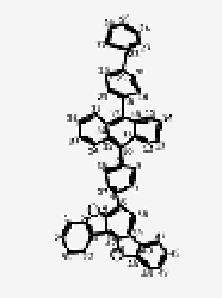 C1=Cc2oc3c(-c4ccc(-c5c6ccccc6c(-c6ccc(-c7ccccc7)cc6)c6ccccc56)cc4)cc4c5ccccc5oc4c3c2CC1